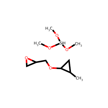 CC1CC1OCC1CO1.CO[SiH](OC)OC